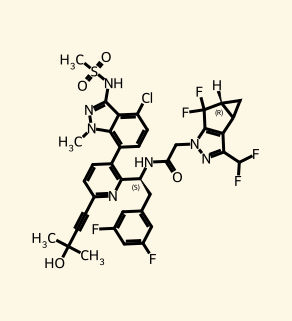 Cn1nc(NS(C)(=O)=O)c2c(Cl)ccc(-c3ccc(C#CC(C)(C)O)nc3[C@H](Cc3cc(F)cc(F)c3)NC(=O)Cn3nc(C(F)F)c4c3C(F)(F)[C@@H]3CC43)c21